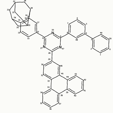 c1ccc(-c2cccc(-c3nc(-c4ccc5c(c4)C4CC6CC(CC5C6)C4)nc(-c4ccc5c6ccccc6c6ccccc6c5c4)n3)c2)cc1